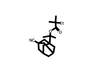 CCC(C)(C)C(=O)OC(C)(C)C12CC3CC(CC(C#N)(C3)C1)C2